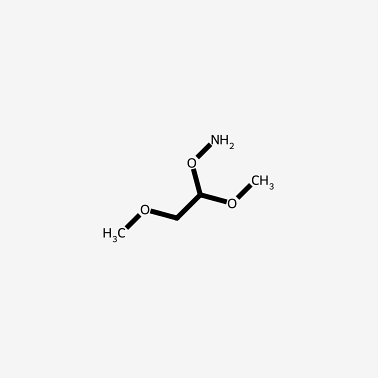 COCC(OC)ON